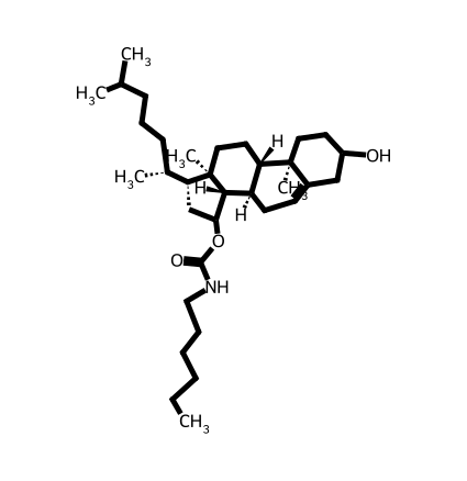 CCCCCCNC(=O)OC1C[C@H]([C@H](C)CCCC(C)C)[C@@]2(C)CC[C@H]3[C@@H](CC=C4CC(O)CC[C@@]43C)[C@H]12